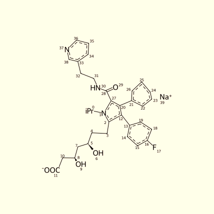 CC(C)n1c(CC[C@@H](O)C[C@@H](O)CC(=O)[O-])c(-c2ccc(F)cc2)c(-c2ccccc2)c1C(=O)NCCc1cccnc1.[Na+]